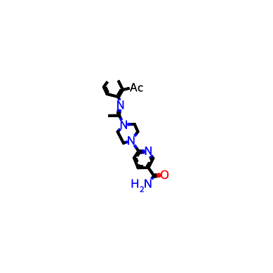 C\C=C/C(/N=C(\C)N1CCN(c2ccc(C(N)=O)cn2)CC1)=C(\C)C(C)=O